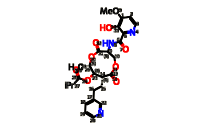 COc1ccnc(C(=O)N[C@H]2COC(=O)[C@H](CCc3cccnc3)[C@@H](OC(=O)C(C)C)[C@H](C)OC2=O)c1O